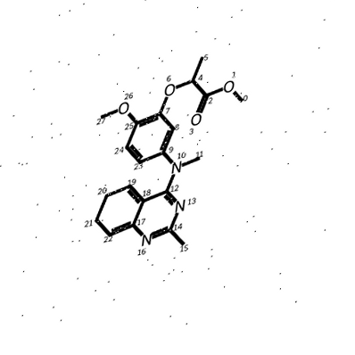 COC(=O)C(C)Oc1cc(N(C)c2nc(C)nc3c2=CCCC=3)ccc1OC